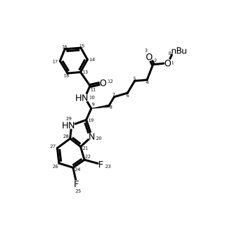 CCCCOC(=O)CCCCC[C@H](NC(=O)c1ccccc1)c1nc2c(F)c(F)ccc2[nH]1